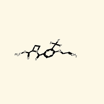 C=CCOc1ccc(C(=S)N2CCC2C(=O)OC)cc1C(F)(F)F